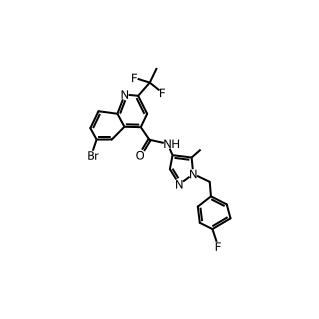 Cc1c(NC(=O)c2cc(C(C)(F)F)nc3ccc(Br)cc23)cnn1Cc1ccc(F)cc1